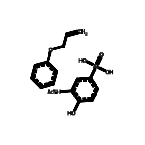 C=CCOc1ccccc1.CC(=O)Nc1cc([As](=O)(O)O)ccc1O